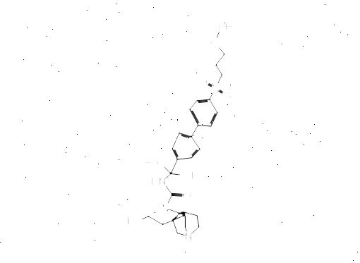 CCCC1(NC(=O)NC(C)(C)c2ccc(-c3ccc(S(=O)(=O)CCCOC)cc3)cc2)CN2CCC1CC2